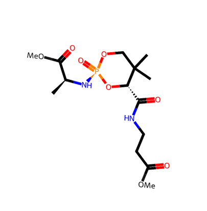 COC(=O)CCNC(=O)[C@@H]1O[P@@](=O)(N[C@@H](C)C(=O)OC)OCC1(C)C